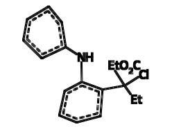 CCOC(=O)C(Cl)(CC)c1ccccc1Nc1ccccc1